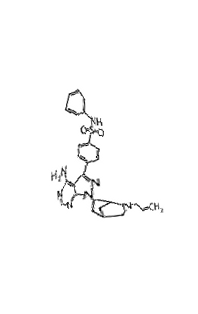 C=CCN1CC2CC1C(n1nc(-c3ccc(S(=O)(=O)Nc4ccccc4)cc3)c3c(N)ncnc31)C2